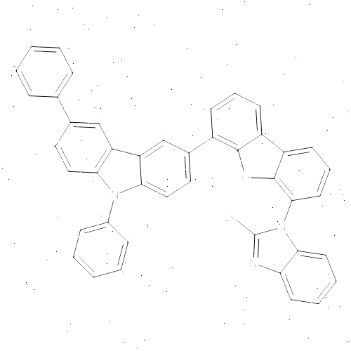 CCc1nc2ccccc2n1-c1cccc2c1oc1c(-c3ccc4c(c3)c3cc(-c5ccccc5)ccc3n4-c3ccccc3)cccc12